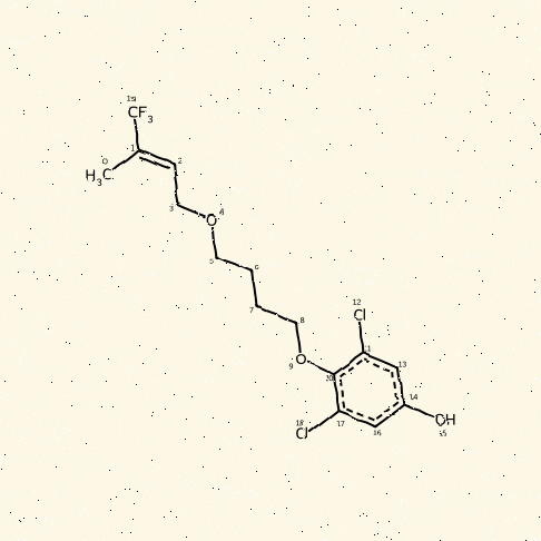 CC(=CCOCCCCOc1c(Cl)cc(O)cc1Cl)C(F)(F)F